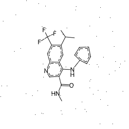 CNC(=O)c1cnc2cc(C(F)(F)F)c(C(C)C)cc2c1Nc1ccccc1